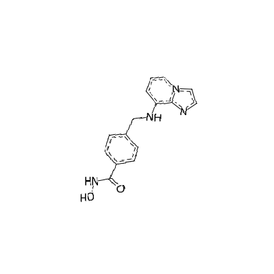 O=C(NO)c1ccc(CNc2cccn3ccnc23)cc1